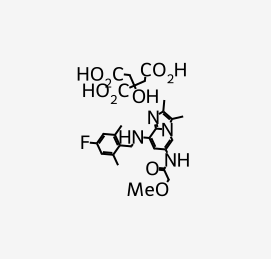 COCC(=O)Nc1cc(NCc2c(C)cc(F)cc2C)c2nc(C)c(C)n2c1.O=C(O)CC(O)(CC(=O)O)C(=O)O